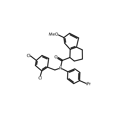 COc1ccc2c(c1)C(C(=O)N(Cc1ccc(Cl)cc1Cl)c1ccc(C(C)C)cc1)CCC2